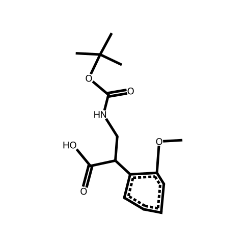 COc1ccccc1C(CNC(=O)OC(C)(C)C)C(=O)O